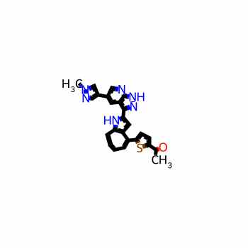 CC(=O)c1ccc(C2=CC=C=Cc3[nH]c(-c4n[nH]c5ncc(-c6cnn(C)c6)cc45)cc32)s1